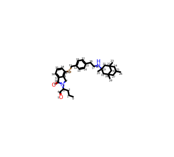 CCCC(C=O)N1Cc2c(SCc3ccc(CCNC4(C)CC5(C)CC(C)CC(C)(C5)C4)cc3)cccc2C1=O